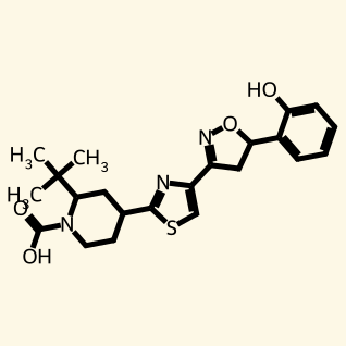 CC(C)(C)C1CC(c2nc(C3=NOC(c4ccccc4O)C3)cs2)CCN1C(=O)O